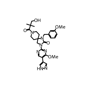 COc1cccc(CN2C(=O)N(c3ncc(-c4cn[nH]c4)c(OC)n3)CC23CCN(C(=O)C(C)(C)CO)CC3)c1